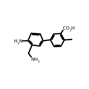 Cc1ccc(-c2ccc(N)c(CN)c2)cc1C(=O)O